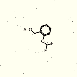 CC(=O)OCc1ccccc1OC(F)F